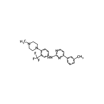 Cc1cccc(-c2ccnc(Nc3ccc(N4CCN(C)CC4)c(C(F)(F)F)c3)n2)c1